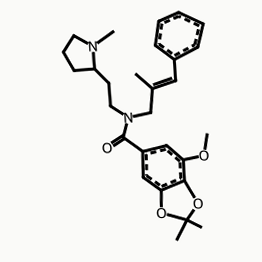 COc1cc(C(=O)N(CCC2CCCN2C)C/C(C)=C/c2ccccc2)cc2c1OC(C)(C)O2